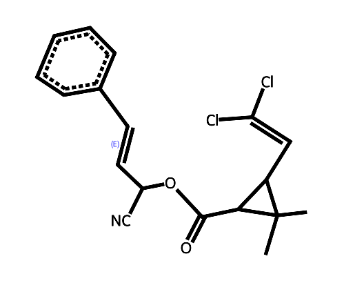 CC1(C)C(C=C(Cl)Cl)C1C(=O)OC(C#N)/C=C/c1ccccc1